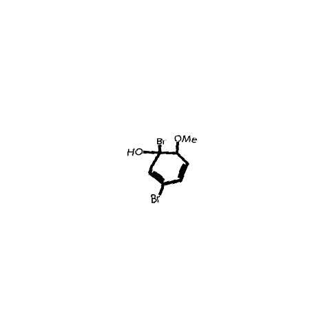 COC1C=CC(Br)=CC1(O)Br